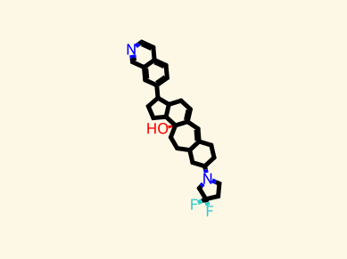 O[C@]12CCC3CC(N4CCC(F)(F)C4)CCC3=CC1=CCC1C(c3ccc4ccncc4c3)CCC12